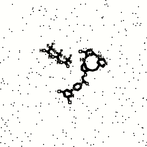 O=C(COc1ccc2cc1CCc1cncc(c1)Nc1ncc(Cl)c(n1)N2)N1CCN(c2cc(Cl)cc(Cl)n2)CC1.O=C(O)C(F)(F)F.O=C(O)C(F)(F)F.O=C(O)C(F)(F)F